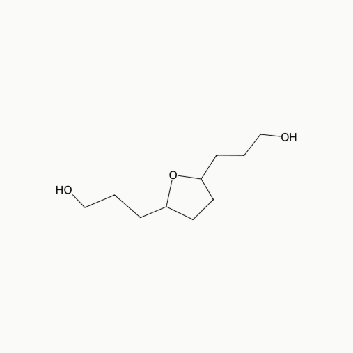 OCCCC1CCC(CCCO)O1